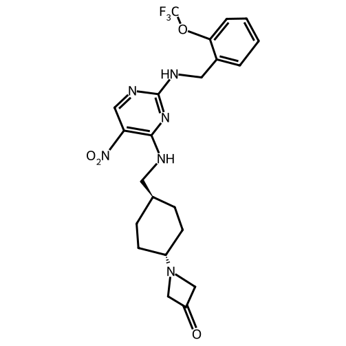 O=C1CN([C@H]2CC[C@H](CNc3nc(NCc4ccccc4OC(F)(F)F)ncc3[N+](=O)[O-])CC2)C1